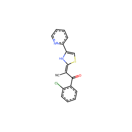 N#CC(C(=O)c1ccccc1Cl)=C1NC(c2ccccn2)=CS1